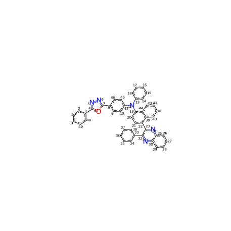 c1ccc(-c2nnc(-c3ccc(N(c4ccccc4)c4ccc(-c5nc6ccccc6nc5-c5ccccc5)c5ccccc45)cc3)o2)cc1